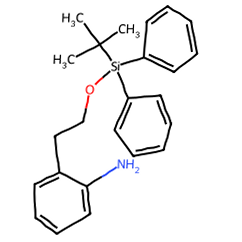 CC(C)(C)[Si](OCCc1ccccc1N)(c1ccccc1)c1ccccc1